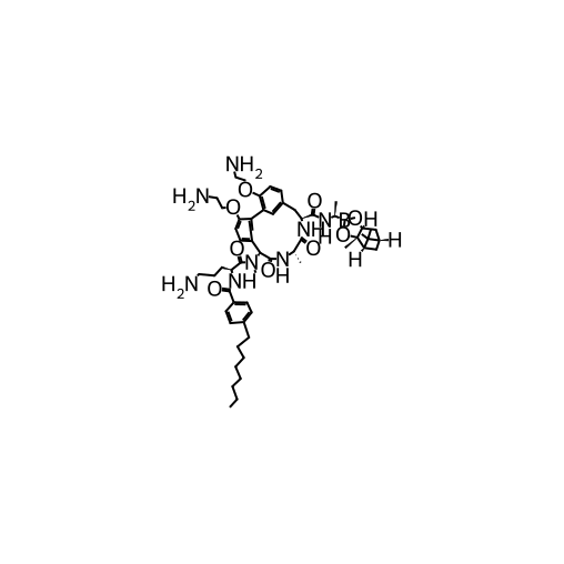 CCCCCCCCc1ccc(C(=O)N[C@@H](CCCN)C(=O)N(C)[C@@H]2C(=O)N[C@@H](C)C(=O)N[C@H](C(=O)N[C@@H](C)B3O[C@@H]4C[C@@H]5C[C@@H](C5(C)C)[C@]4(C)O3)Cc3ccc(OCCN)c(c3)-c3cc2ccc3OCCN)cc1